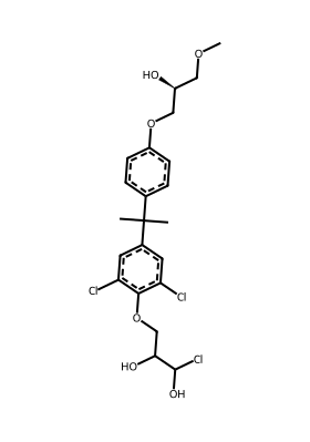 COC[C@H](O)COc1ccc(C(C)(C)c2cc(Cl)c(OCC(O)C(O)Cl)c(Cl)c2)cc1